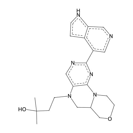 CC(C)(O)CCN1CC2COCCN2c2nc(-c3cncc4[nH]ccc34)ncc21